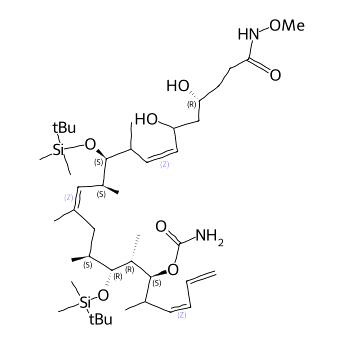 C=C/C=C\C(C)[C@H](OC(N)=O)[C@@H](C)[C@H](O[Si](C)(C)C(C)(C)C)[C@@H](C)C/C(C)=C\[C@H](C)[C@@H](O[Si](C)(C)C(C)(C)C)C(C)/C=C\C(O)C[C@H](O)CCC(=O)NOC